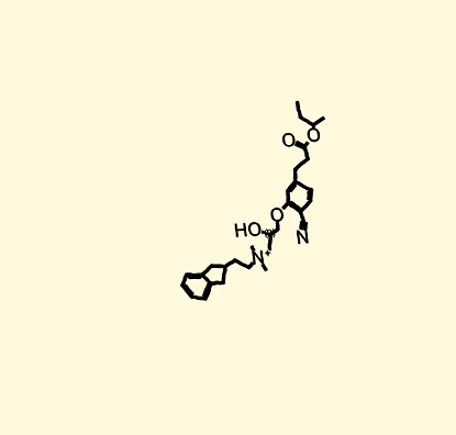 CCC(C)OC(=O)CCc1ccc(C#N)c(OC[C@H](O)C[N+](C)(C)CCC2Cc3ccccc3C2)c1